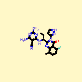 CC[C@H](Nc1nc(N)nc(N)c1C#N)c1nc2c(C)ccc(F)c2c(=O)n1-c1cc[nH]n1